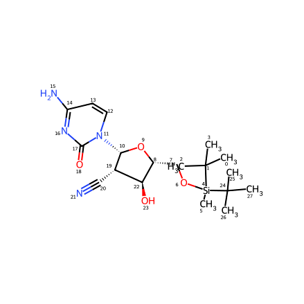 CC(C)(C)[Si](C)(OC[C@H]1O[C@@H](n2ccc(N)nc2=O)[C@@H](C#N)[C@@H]1O)C(C)(C)C